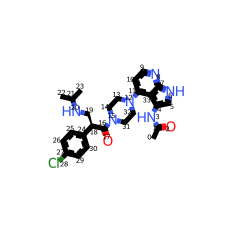 CC(=O)Nc1c[nH]c2nccc(N3CCN(C(=O)[C@H](CNC(C)C)c4ccc(Cl)cc4)CC3)c12